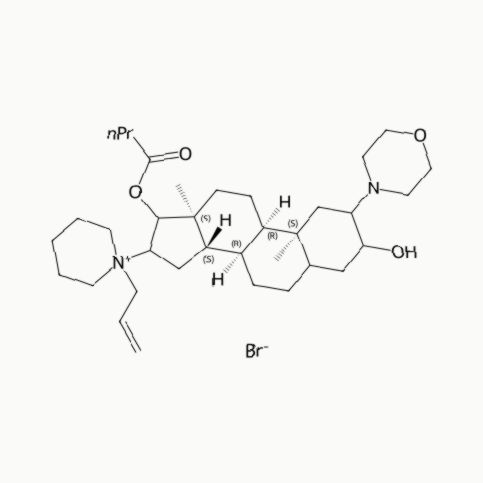 C=CC[N+]1(C2C[C@H]3[C@@H]4CCC5CC(O)C(N6CCOCC6)C[C@]5(C)[C@@H]4CC[C@]3(C)C2OC(=O)CCC)CCCCC1.[Br-]